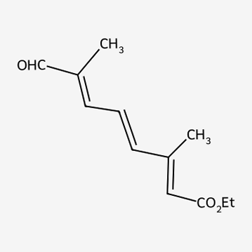 CCOC(=O)/C=C(C)/C=C/C=C(\C)C=O